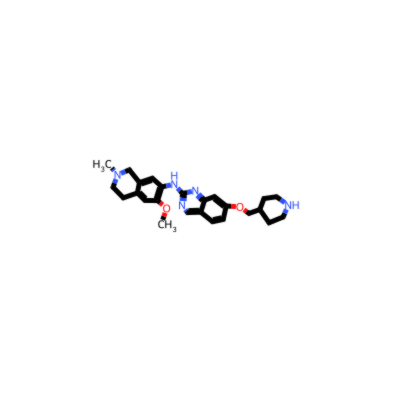 COc1cc2c(cc1Nc1ncc3ccc(OCC4CCNCC4)cc3n1)CN(C)CC2